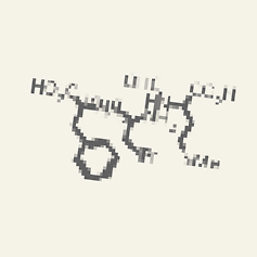 CC(C)CC(N)C(=O)O.CSCCC(NC=O)C(=O)O.NC(Cc1ccccc1)C(=O)O